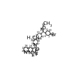 CCON=C(c1ccc(Br)cc1)C1CCN(C2(C)CCN(C(=O)c3cc4cccnc4nc3C(F)(F)F)CC2)CC1